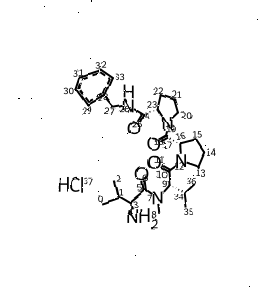 CC(C)[C@H](N)C(=O)N(C)[C@H](C(=O)N1CCC[C@H]1C(=O)N1CCC[C@H]1C(=O)NCc1ccccc1)C(C)C.Cl